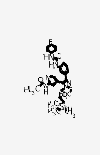 CSc1nc(-c2cccc(NC(=O)Nc3ccc(F)cc3)c2)c(-c2ccnc(NC(C)=O)c2)n1COCC[Si](C)(C)C